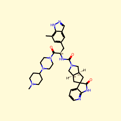 Cc1cc(C[C@@H](NC(=O)N2C[C@@H]3CC4(C[C@@H]3C2)C(=O)Nc2ncccc24)C(=O)N2CCN(C3CCN(C)CC3)CC2)cc2cn[nH]c12